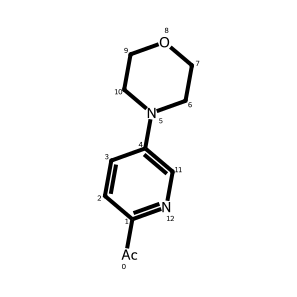 CC(=O)c1ccc(N2CCOCC2)cn1